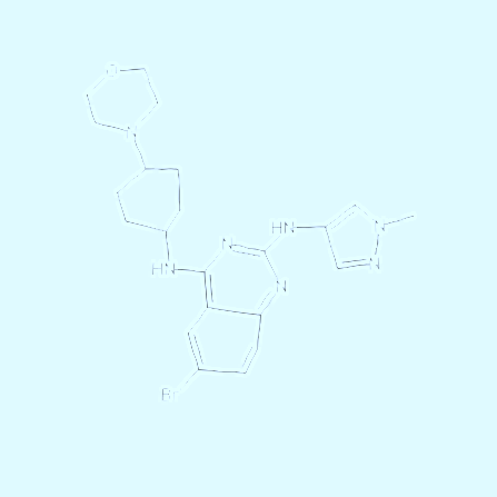 Cn1cc(Nc2nc(NC3CCC(N4CCOCC4)CC3)c3cc(Br)ccc3n2)cn1